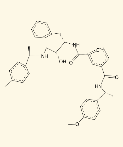 COc1ccc([C@@H](C)NC(=O)c2cccc(C(=O)N[C@@H](Cc3ccccc3)[C@H](O)CN[C@H](C)c3ccc(C)cc3)c2)cc1